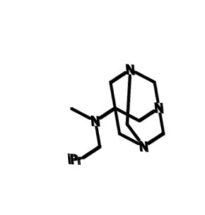 CC(C)CN(C)C12CN3CN(CN(C3)C1)C2